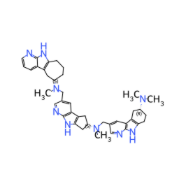 CN(C)[C@@H]1CCc2[nH]c3ncc(CN(C)[C@@H]4Cc5[nH]c6ncc(CN(C)[C@H]7CCCc8[nH]c9ncccc9c8C7)cc6c5C4)cc3c2C1